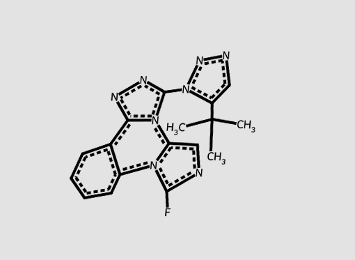 CC(C)(C)c1cnnn1-c1nnc2c3ccccc3n3c(F)ncc3n12